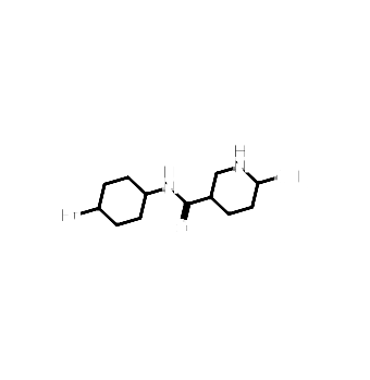 CCC1CCC(NC(=O)C2CCC(C)NC2)CC1